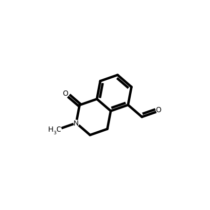 CN1CCc2c(C=O)cccc2C1=O